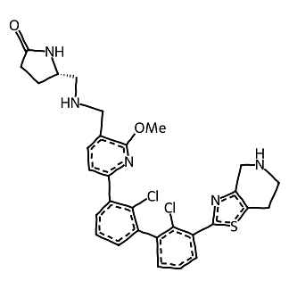 COc1nc(-c2cccc(-c3cccc(-c4nc5c(s4)CCNC5)c3Cl)c2Cl)ccc1CNC[C@@H]1CCC(=O)N1